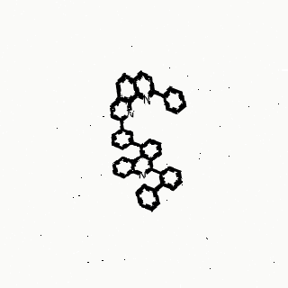 c1ccc(-c2ccc3ccc4ccc(-c5cccc(-c6cccc7c(-c8ccccc8-c8ccccc8)nc8ccccc8c67)c5)nc4c3n2)cc1